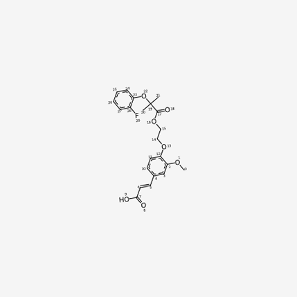 COc1cc(/C=C/C(=O)O)ccc1OCCOC(=O)C(C)(C)Oc1ccccc1F